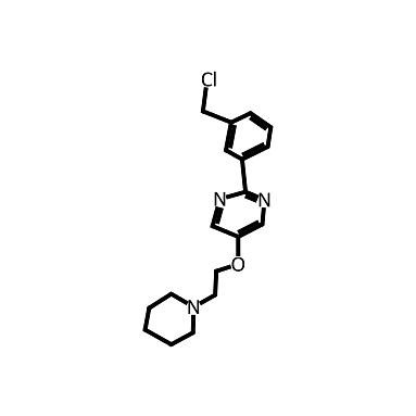 ClCc1cccc(-c2ncc(OCCN3CCCCC3)cn2)c1